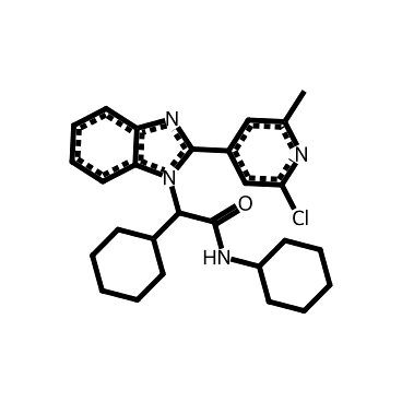 Cc1cc(-c2nc3ccccc3n2C(C(=O)NC2CCCCC2)C2CCCCC2)cc(Cl)n1